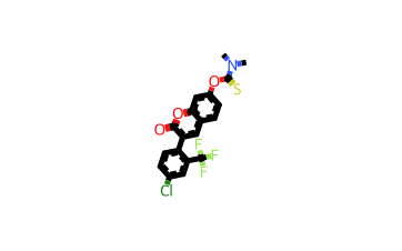 CN(C)C(=S)Oc1ccc2cc(-c3ccc(Cl)cc3C(F)(F)F)c(=O)oc2c1